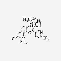 CS(=O)(=O)c1ncccc1N(Cc1ccc2cc(Cl)c(N)nc2c1)C(=O)c1ccc(C(F)(F)F)nc1